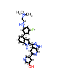 CN(C)CCNc1cc(F)cc(-c2cccc3[nH]c(-c4n[nH]c5cnc(-c6cncc(O)c6)cc45)cc23)c1